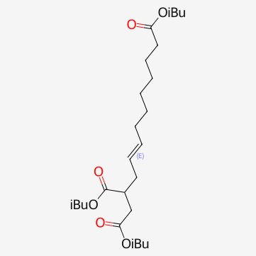 CC(C)COC(=O)CCCCCC/C=C/CC(CC(=O)OCC(C)C)C(=O)OCC(C)C